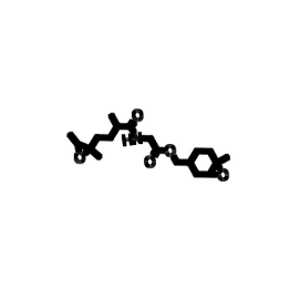 CC(CCC1(C)OC1C)C(=O)NCC(=O)OCC1CCC2(C)OC2C1